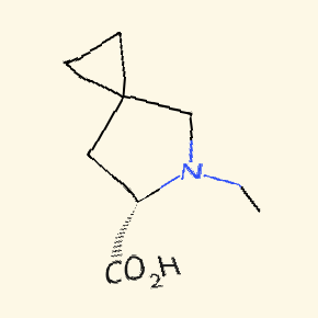 CN1CC2(CC2)C[C@H]1C(=O)O